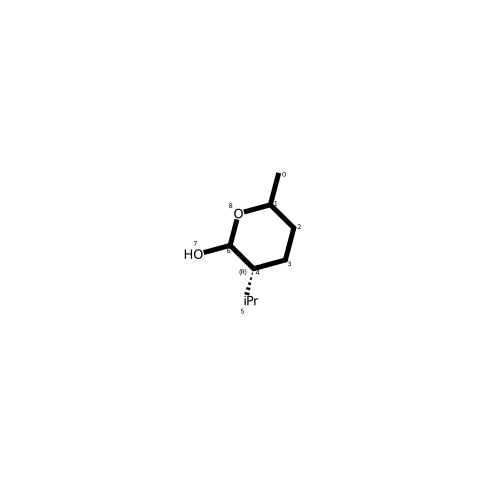 CC1CC[C@H](C(C)C)C(O)O1